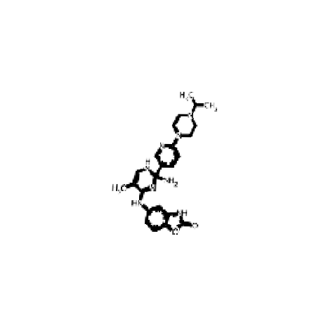 CC1=CNC(N)(c2ccc(N3CCN(C(C)C)CC3)nc2)N=C1Nc1ccc2oc(=O)[nH]c2c1